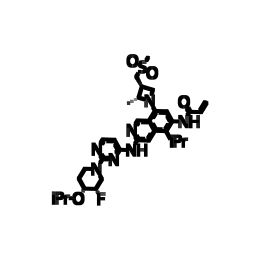 C=CC(=O)Nc1cc(N2C[C@H](CS(C)(=O)=O)[C@H]2C)c2cnc(Nc3ccnc(N4CC[C@@H](OC(C)C)[C@@H](F)C4)n3)cc2c1C(C)C